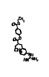 CCOC(=O)c1ccc(OC(=O)C(CC)Cc2cccc(NC(=N)N)c2)cc1